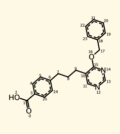 O=C(O)c1ccc(CCCc2cncnc2OCc2ccccc2)cc1